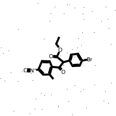 [C-]#[N+]c1ccc(C(=O)C(C(=O)OCC)c2ccc(Br)cc2)c(C)c1